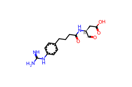 N=C(N)Nc1ccc(CCCC(=O)N[C@H]([C]=O)CC(=O)O)cc1